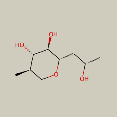 C[C@H](O)C[C@@H]1OC[C@@H](C)[C@H](O)[C@H]1O